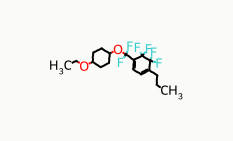 CCCC1=CC=C(C(F)(F)OC2CCC(OCC)CC2)C(F)(F)C1(F)F